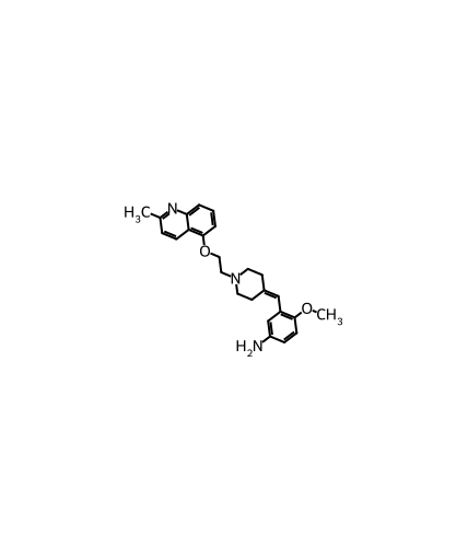 COc1ccc(N)cc1C=C1CCN(CCOc2cccc3nc(C)ccc23)CC1